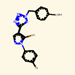 CCc1ccc(-n2ncc(-c3nnn(Cc4ccc(OC)cc4)n3)c2S)cc1